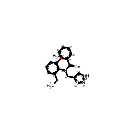 CCc1cccc(CC)c1N(Cc1c[nH]nn1)C(=O)c1ccccc1